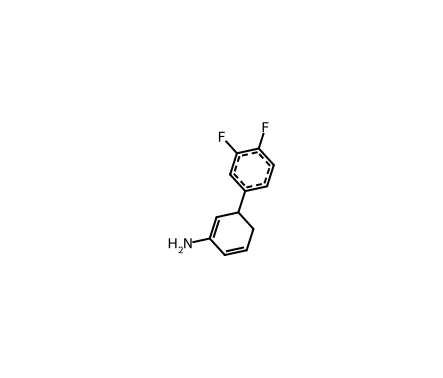 NC1=CC(c2ccc(F)c(F)c2)CC=C1